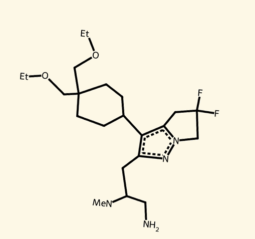 CCOCC1(COCC)CCC(c2c(CC(CN)NC)nn3c2CC(F)(F)C3)CC1